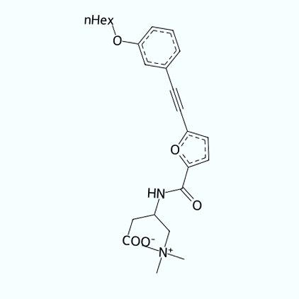 CCCCCCOc1cccc(C#Cc2ccc(C(=O)NC(CC(=O)[O-])C[N+](C)(C)C)o2)c1